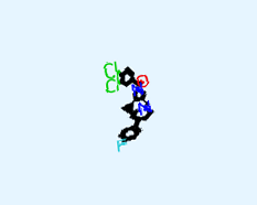 O=C(c1ccc(Cl)c(Cl)c1)N1C[C@@H](CN2CCC(c3ccc(F)cc3)CC2)[C@H](C2CC2)C1